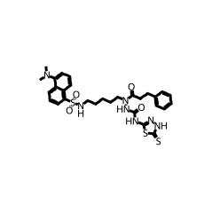 CN(C)c1cccc2c(S(=O)(=O)NCCCCCN(NC(=O)Nc3n[nH]c(=S)s3)C(=O)CCc3ccccc3)cccc12